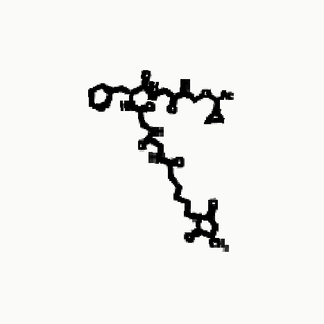 CC(=O)[C@@H](OCNC(=O)CNC(=O)[C@H](Cc1ccccc1)NC(=O)CNC(=O)CNC(=O)CCCCCN1C(=O)C[C@H](C)C1=O)C1CC1